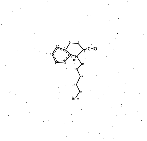 O=CC1CCc2ccccc2N1CCCCCBr